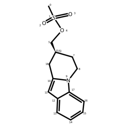 CS(=O)(=O)OC[C@H]1CCn2c(cc3ccccc32)C1